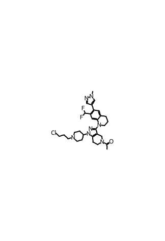 CC(=O)N1CCc2c(c(N3CCCc4cc(-c5cnn(C)c5)c(C(F)F)cc43)nn2C2CCN(CCCCl)CC2)C1